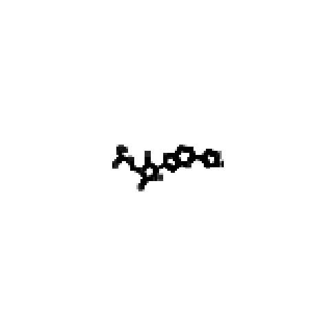 CC(C)(C)C(=O)OCN1C(=O)N[C@@H](c2cc3nc(-c4cn[nH]c4)ccc3o2)C1=O